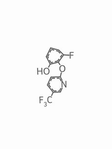 Oc1cccc(F)c1Oc1ccc(C(F)(F)F)cn1